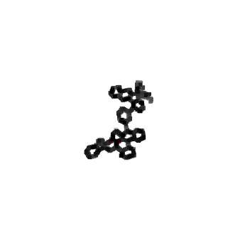 CC1(C)c2cc3ccccc3cc2-c2c(-c3cccc(-c4c5ccccc5c(-c5ccccc5-c5ccc6oc7ccccc7c6c5)c5ccccc45)c3)cccc21